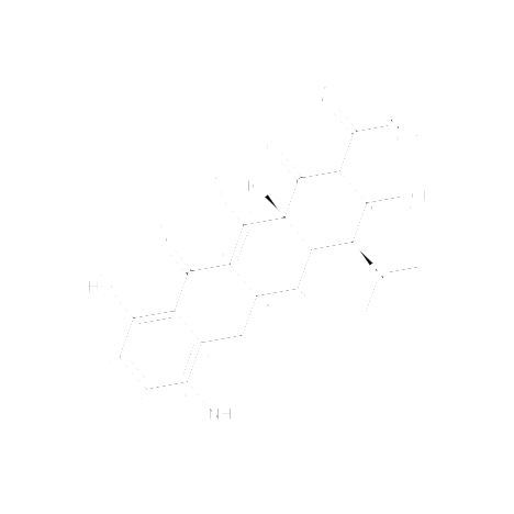 CN(C)[C@@H]1C(O)C(C(N)=O)C(=O)[C@@]2(O)C(O)=C3C(=O)c4c(O)ccc(N)c4CC3CC12